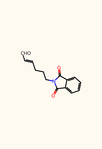 O=CC=CCCCN1C(=O)c2ccccc2C1=O